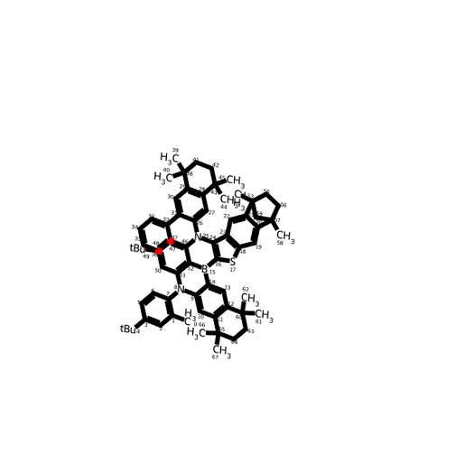 Cc1cc(C(C)(C)C)ccc1N1c2cc3c(cc2B2c4sc5cc6c(cc5c4N(c4cc5c(cc4-c4ccccc4)C(C)(C)CCC5(C)C)c4cc(C(C)(C)C)cc1c42)C1(C)CCC6(C)C1)C(C)(C)CCC3(C)C